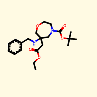 CCOC(=O)CC1(NCc2ccccc2)COCCN(C(=O)OC(C)(C)C)C1